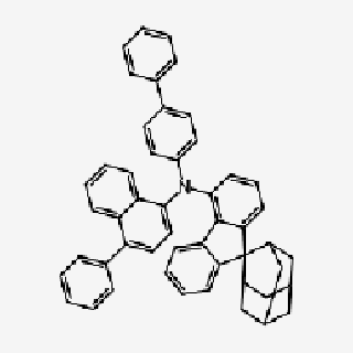 c1ccc(-c2ccc(N(c3cccc4c3-c3ccccc3C43C4CC5CC(C4)CC3C5)c3ccc(-c4ccccc4)c4ccccc34)cc2)cc1